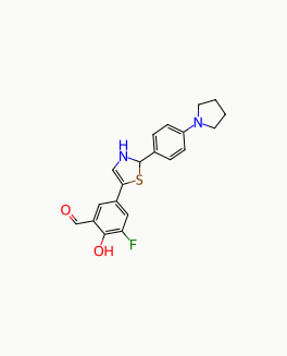 O=Cc1cc(C2=CNC(c3ccc(N4CCCC4)cc3)S2)cc(F)c1O